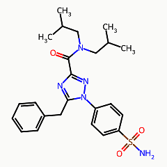 CC(C)CN(CC(C)C)C(=O)c1nc(Cc2ccccc2)n(-c2ccc(S(N)(=O)=O)cc2)n1